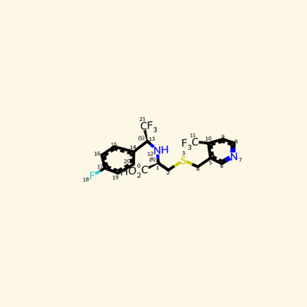 O=C(O)[C@H](CSCc1cnccc1C(F)(F)F)N[C@@H](c1ccc(F)cc1)C(F)(F)F